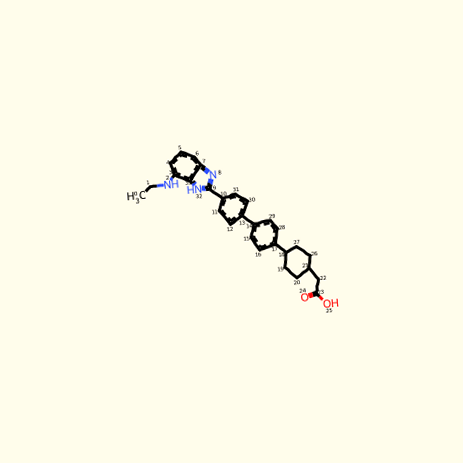 CCNc1cccc2nc(-c3ccc(-c4ccc(C5CCC(CC(=O)O)CC5)cc4)cc3)[nH]c12